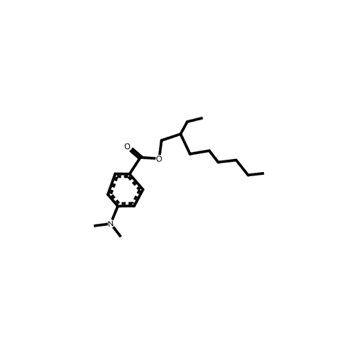 CCCCCCC(CC)COC(=O)c1ccc(N(C)C)cc1